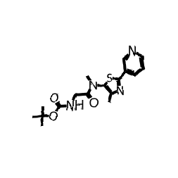 Cc1nc(-c2cccnc2)sc1N(C)C(=O)CNC(=O)OC(C)(C)C